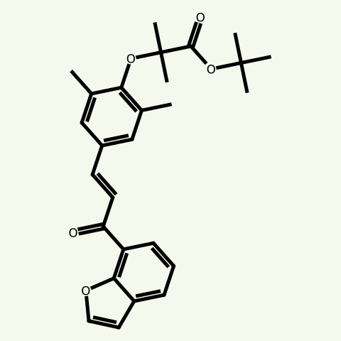 Cc1cc(C=CC(=O)c2cccc3ccoc23)cc(C)c1OC(C)(C)C(=O)OC(C)(C)C